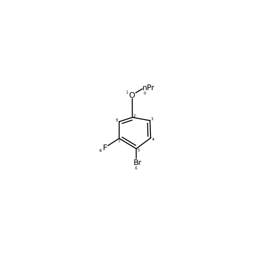 C[CH]COc1ccc(Br)c(F)c1